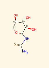 NC(=S)NC1OC[C@@H](O)[C@H](O)[C@H]1O